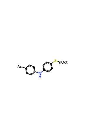 CCCCCCCCSc1ccc(Nc2ccc(C(C)=O)cc2)cc1